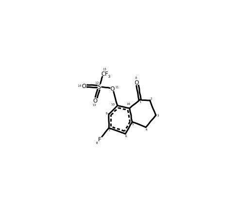 O=C1CCCc2cc(F)cc(OS(=O)(=O)C(F)(F)F)c21